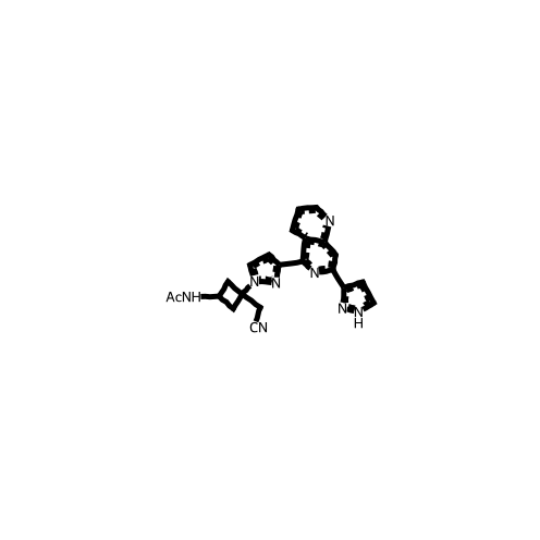 CC(=O)NC1CC(CC#N)(n2ccc(-c3nc(-c4cc[nH]n4)cc4ncccc34)n2)C1